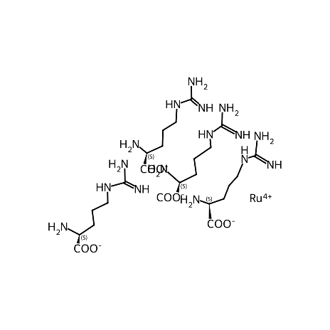 N=C(N)NCCC[C@H](N)C(=O)[O-].N=C(N)NCCC[C@H](N)C(=O)[O-].N=C(N)NCCC[C@H](N)C(=O)[O-].N=C(N)NCCC[C@H](N)C(=O)[O-].[Ru+4]